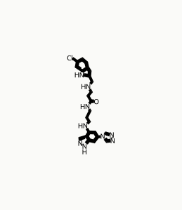 O=C(CCNCc1cc2ccc(Cl)cc2[nH]1)NCCCNc1cc(-n2cnnc2)cc2[nH]ncc12